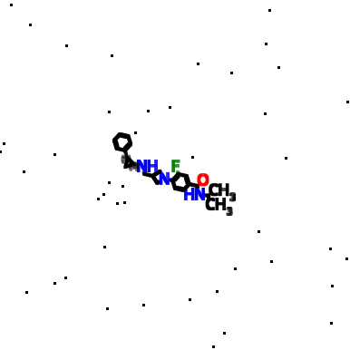 CC(C)NC(=O)c1ccc(N2CC(CN[C@@H]3C[C@H]3c3ccccc3)C2)c(F)c1